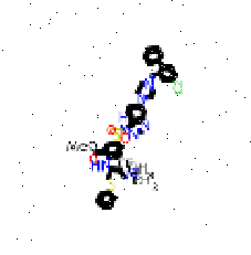 COC(=O)c1cc(S(=O)(=O)Nc2ncnc3cc(N4CCN(Cc5cc(Cl)ccc5-c5ccccc5)CC4)ccc23)cc(C(F)(F)F)c1NC(CCN(C)C)CSc1ccccc1